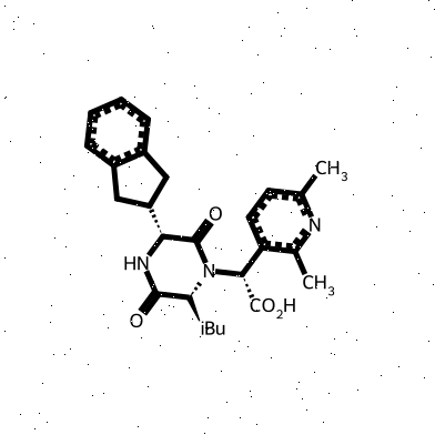 CC[C@H](C)[C@@H]1C(=O)N[C@H](C2Cc3ccccc3C2)C(=O)N1[C@@H](C(=O)O)c1ccc(C)nc1C